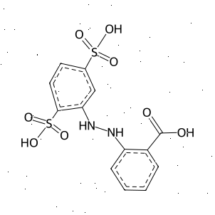 O=C(O)c1ccccc1NNc1cc(S(=O)(=O)O)ccc1S(=O)(=O)O